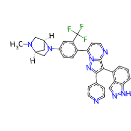 CN1C[C@@H]2C[C@H]1CN2c1ccc(-c2ccnc3c(-c4cccc5[nH]ncc45)c(-c4ccncc4)nn23)c(C(F)(F)F)c1